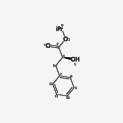 CC(C)OC(=O)[C@@H](O)Cc1ccccc1